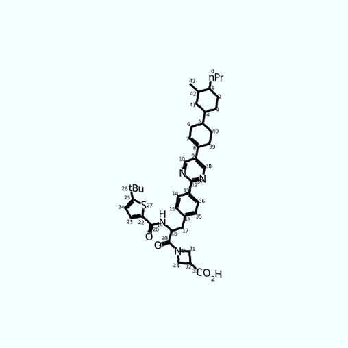 CCCC1CCC(C2CC=C(c3cnc(-c4ccc(CC(NC(=O)c5ccc(C(C)(C)C)s5)C(=O)N5CC(C(=O)O)C5)cc4)nc3)CC2)CC1C